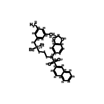 CC[N+](CC)(CCCN(c1ccc2c(c1)OCO2)S(=O)(=O)c1ccc2ccccc2c1)Cc1cc(C)cc(C)c1